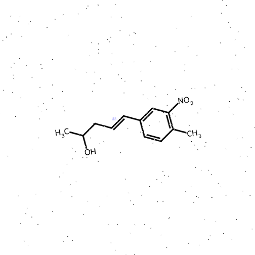 Cc1ccc(/C=C/CC(C)O)cc1[N+](=O)[O-]